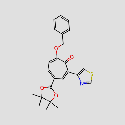 CC1(C)OB(c2ccc(OCc3ccccc3)c(=O)c(-c3cscn3)c2)OC1(C)C